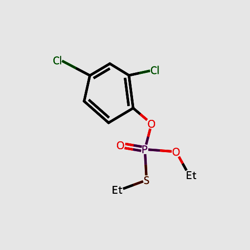 CCOP(=O)(Oc1ccc(Cl)cc1Cl)SCC